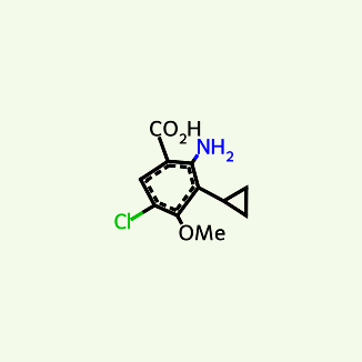 COc1c(Cl)cc(C(=O)O)c(N)c1C1CC1